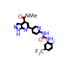 CNC(=O)c1cc(-c2ccc(NC(=O)Nc3cc(C(F)(F)F)ccc3F)nc2)nc2[nH]ncc12